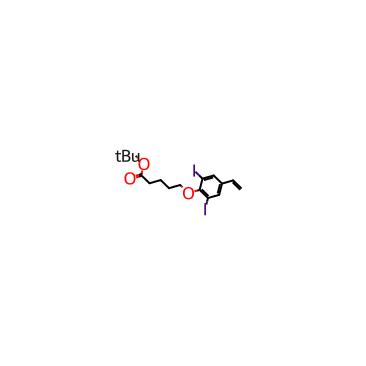 C=Cc1cc(I)c(OCCCCC(=O)OC(C)(C)C)c(I)c1